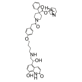 O=C(Cc1ccc(OCCCCNCC(O)c2ccc(O)c3[nH]c(=O)ccc23)cc1)N1CCC(C(=O)O[C@H]2CN3CCC2CC3)(c2ccccc2)CC1